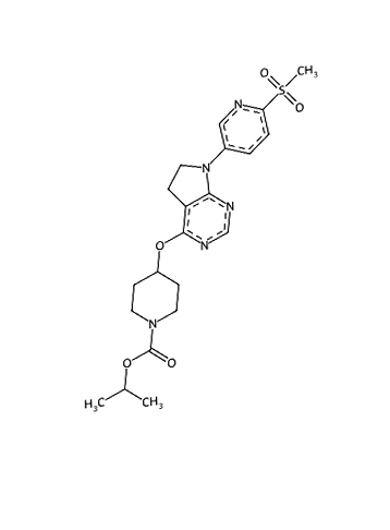 CC(C)OC(=O)N1CCC(Oc2ncnc3c2CCN3c2ccc(S(C)(=O)=O)nc2)CC1